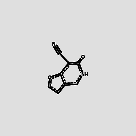 N#Cc1c(=O)[nH]cc2ccoc12